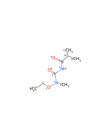 CCON(C)C(=O)NC(=O)C(C)C